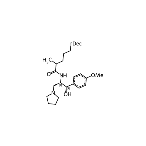 CCCCCCCCCCCCCC(C)C(=O)N[C@H](CN1CCCC1)[C@H](O)c1ccc(OC)cc1